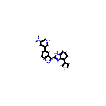 CN(C)c1cncc(-c2ccc3[nH]nc(-c4nc5c(-c6ccsc6)cccc5[nH]4)c3c2)c1